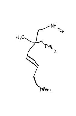 CCCCCCC=CC(C)(C)CN